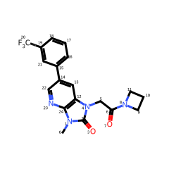 Cn1c(=O)n(CC(=O)N2CCC2)c2cc(-c3cccc(C(F)(F)F)c3)cnc21